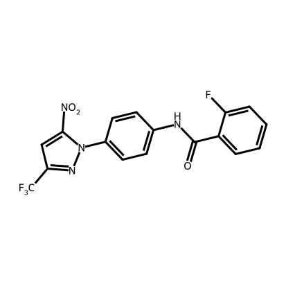 O=C(Nc1ccc(-n2nc(C(F)(F)F)cc2[N+](=O)[O-])cc1)c1ccccc1F